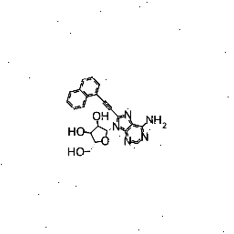 Nc1ncnc2c1nc(C#Cc1cccc3ccccc13)n2[C@@H]1O[C@H](CO)[C@@H](O)[C@H]1O